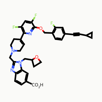 O=C(O)c1ccc2nc(CN3CC=C(c4nc(OCc5ccc(C#CC6CC6)cc5F)c(F)cc4F)CC3)n(CC3CCO3)c2c1